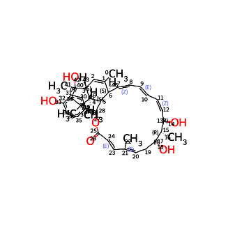 CC1=C[C@@H]2[C@@H]([C@H]3[C@@H]1\C=C/C=C/C=C\[C@@H](O)[C@H](C)[C@H](O)C/C=C(C)/C=C/C(=O)O[C@H]3c1ccc(O)cc1)C(C)(C)C[C@@]2(C)O